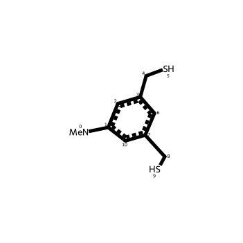 CNc1cc(CS)cc(CS)c1